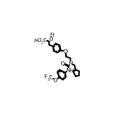 CCOC(Cc1ccc(OCCN(CC2CCCC2)C(=O)Nc2ccc(OC(F)(F)F)cc2)cc1)C(=O)O